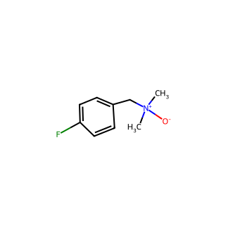 C[N+](C)([O-])Cc1ccc(F)cc1